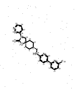 O=C1O[C@]2(CC[C@H](CNc3ccc(-c4cccc(F)n4)cn3)CC2)CN1c1cccnn1